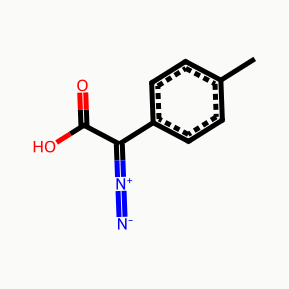 Cc1ccc(C(=[N+]=[N-])C(=O)O)cc1